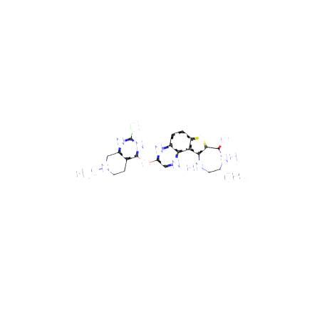 C[C@@H]1CNc2c(sc3ccc4nc(Oc5nc(Cl)nc6c5CCN(C)C6)cnc4c23)C(=O)N1